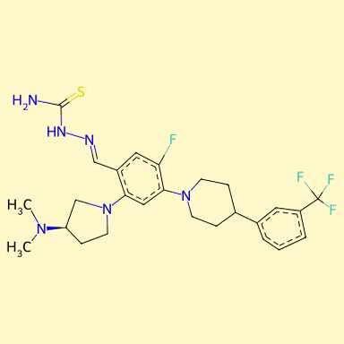 CN(C)[C@@H]1CCN(c2cc(N3CCC(c4cccc(C(F)(F)F)c4)CC3)c(F)cc2/C=N/NC(N)=S)C1